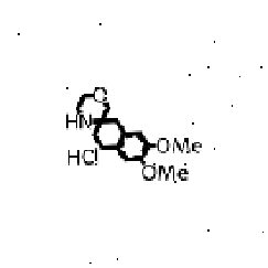 COc1cc2c(cc1OC)CC1(CC2)COCCN1.Cl